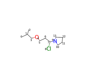 CC(C)COCCC(Cl)N1CCCC1